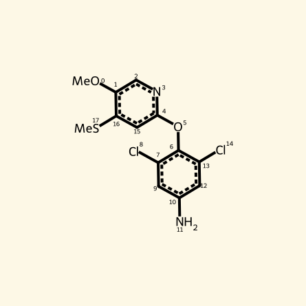 COc1cnc(Oc2c(Cl)cc(N)cc2Cl)cc1SC